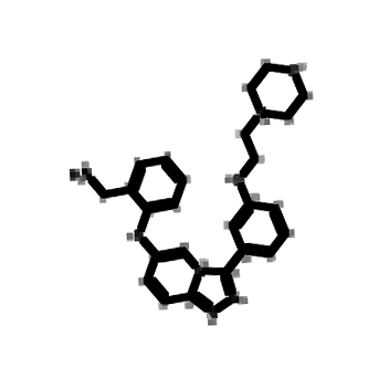 NCc1ccccc1Sc1ccc2nnc(-c3cccc(OCCN4CCOCC4)c3)n2c1